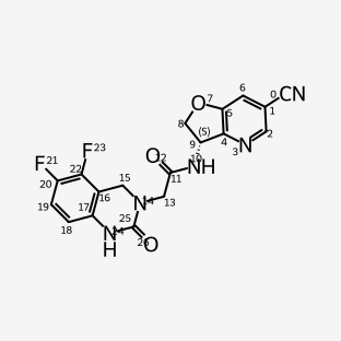 N#Cc1cnc2c(c1)OC[C@H]2NC(=O)CN1Cc2c(ccc(F)c2F)NC1=O